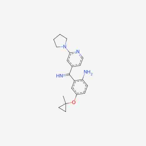 CC1(Oc2ccc(N)c(C(=N)c3ccnc(N4CCCC4)c3)c2)CC1